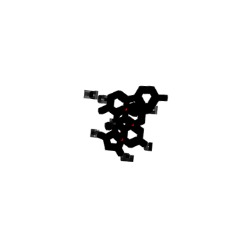 Cl.Cl.[CH2]=[Zr]([C]1=CC(C(C)(C)C)=CC1CC)([c]1ccc(Cl)cc1)([c]1ccc(Cl)cc1)[c]1c(C)ccc2c1Cc1cc(C)ccc1-2